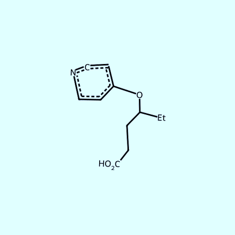 CCC(CCC(=O)O)Oc1ccncc1